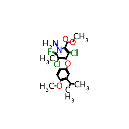 COC(=O)C1=C(Cl)C(Oc2ccc(OC)c(C(C)C)c2)=C(Cl)C(C)(F)N1N